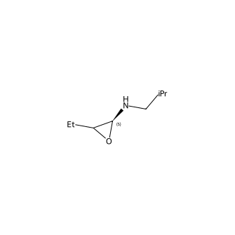 CCC1O[C@@H]1NCC(C)C